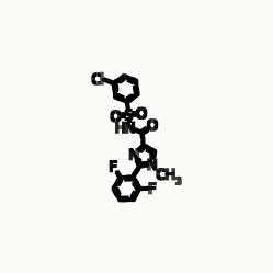 Cn1cc(C(=O)NS(=O)(=O)c2cccc(Cl)c2)nc1-c1c(F)cccc1F